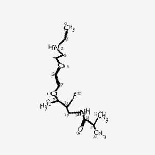 CCNCCOCCOC(C)C(F)CNC(=O)C(C)C